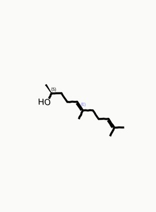 CC(C)=CCC/C(C)=C/CC[C@H](C)O